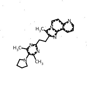 Cc1nc(CCc2nc3c4cccnc4ccn3c2C)nc(C)c1N1CCCC1